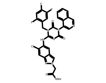 CNC(=O)Cn1cc2cc(Nc3nc(=O)n(-c4cncc5ccccc45)c(=O)n3Cc3cc(F)c(F)cc3F)c(Cl)cc2n1